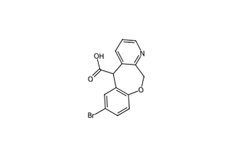 O=C(O)C1c2cc(Br)ccc2OCc2ncccc21